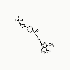 Cc1nn(CCOCCC(=O)N2CCN(C3CN(CC(F)(F)F)C3)CC2)c2cn[nH]c(=O)c12